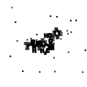 Cn1ncc(OCC(O)c2ccccc2)c1-c1ccn2nc(NC(=O)C3CC3)cc2c1